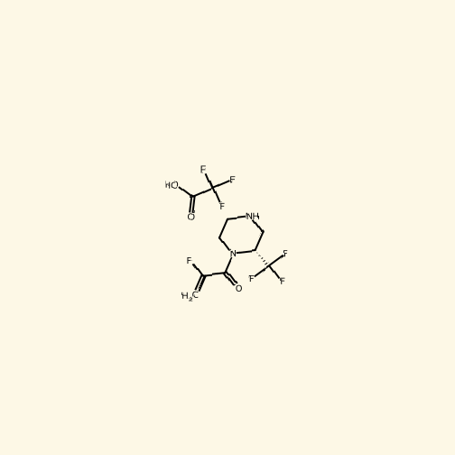 C=C(F)C(=O)N1CCNC[C@@H]1C(F)(F)F.O=C(O)C(F)(F)F